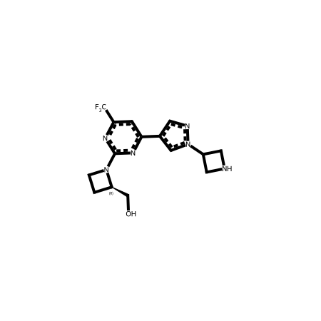 OC[C@H]1CCN1c1nc(-c2cnn(C3CNC3)c2)cc(C(F)(F)F)n1